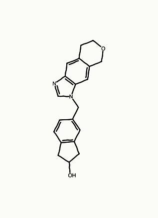 OC1Cc2ccc(Cn3cnc4cc5c(cc43)COCC5)cc2C1